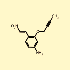 CC#CCOc1cc(N)ccc1C=C[N+](=O)[O-]